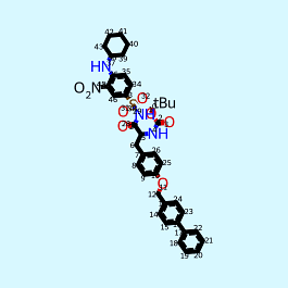 CC(C)(C)OC(=O)NC(Cc1ccc(OCc2ccc(-c3ccccc3)cc2)cc1)C(=O)NS(=O)(=O)c1ccc(NC2CCCCC2)c([N+](=O)[O-])c1